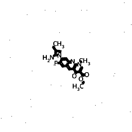 CCOC(=O)c1cn(C)c2nc3cc(N4CC(CC)C4N)c(F)cc3cc2c1=O